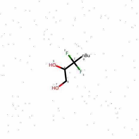 CCCCC(F)(F)C(O)CO